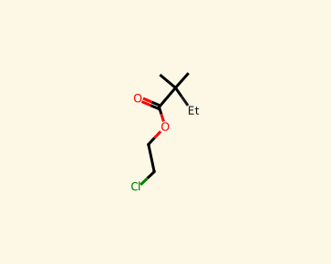 CCC(C)(C)C(=O)OCCCl